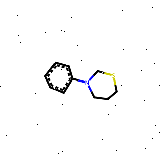 c1ccc(N2CCCSC2)cc1